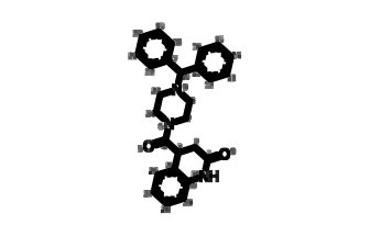 O=C1CC(C(=O)N2CCN(C(c3ccccc3)c3ccccc3)CC2)c2ccccc2N1